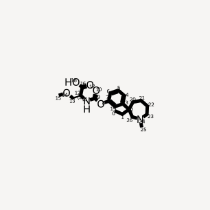 CCC1(c2cccc(OC(=O)N[C@@H](COC)C(=O)O)c2)CCCCN(C)C1